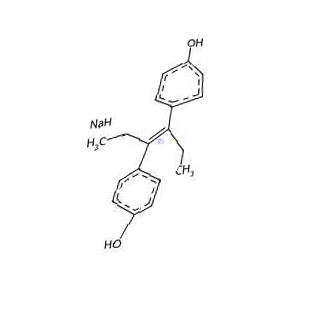 CC/C(=C(/CC)c1ccc(O)cc1)c1ccc(O)cc1.[NaH]